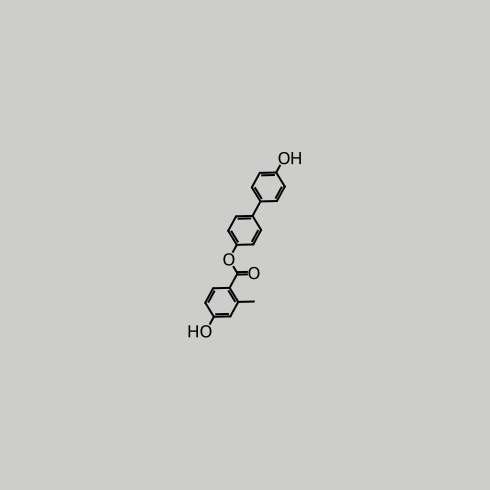 Cc1cc(O)ccc1C(=O)Oc1ccc(-c2ccc(O)cc2)cc1